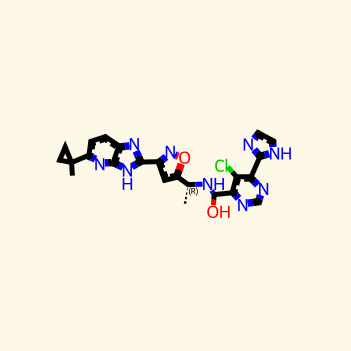 C[C@@H](NC(O)c1ncnc(-c2ncc[nH]2)c1Cl)c1cc(-c2nc3ccc(C4(C)CC4)nc3[nH]2)no1